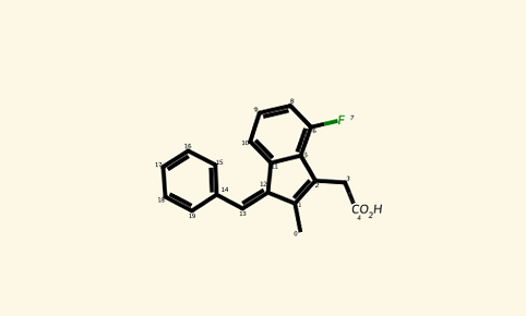 CC1=C(CC(=O)O)c2c(F)cccc2/C1=C\c1ccccc1